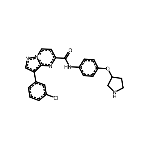 O=C(Nc1ccc(OC2CCNC2)cc1)c1ccn2ncc(-c3cccc(Cl)c3)c2n1